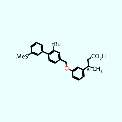 CSc1cccc(-c2ccc(COc3cccc([C@H](C)CC(=O)O)c3)cc2C(C)(C)C)c1